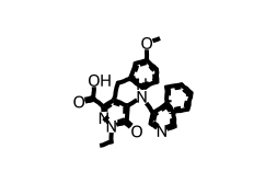 CCn1nc(C(=O)O)c(Cc2cccc(OC)c2)c(Nc2cncc3ccccc23)c1=O